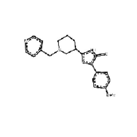 COc1ccc(-n2nc(C3CCCN(Cc4ccncc4)C3)[nH]c2=O)cc1